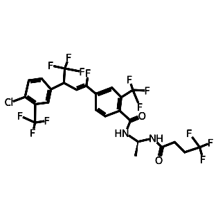 C[C@H](NC(=O)CCC(F)(F)F)NC(=O)c1ccc(/C(F)=C/C(c2ccc(Cl)c(C(F)(F)F)c2)C(F)(F)F)cc1C(F)(F)F